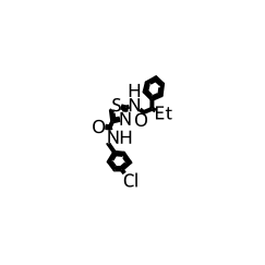 CCC(C(=O)Nc1nc(C(=O)NCc2ccc(Cl)cc2)cs1)c1ccccc1